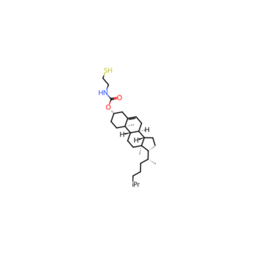 CC(C)CCC[C@@H](C)[C@H]1CC[C@H]2[C@@H]3CC=C4C[C@@H](OC(=O)NCCS)CC[C@]4(C)[C@H]3CC[C@]12C